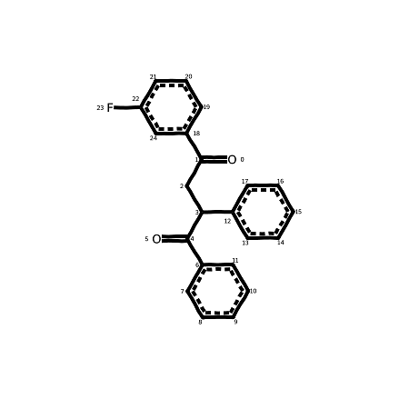 O=C(CC(C(=O)c1ccccc1)c1ccccc1)c1cccc(F)c1